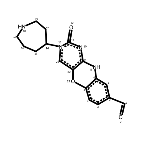 O=Cc1ccc2c(c1)Nc1nc(=O)n(C3CCCNCC3)cc1O2